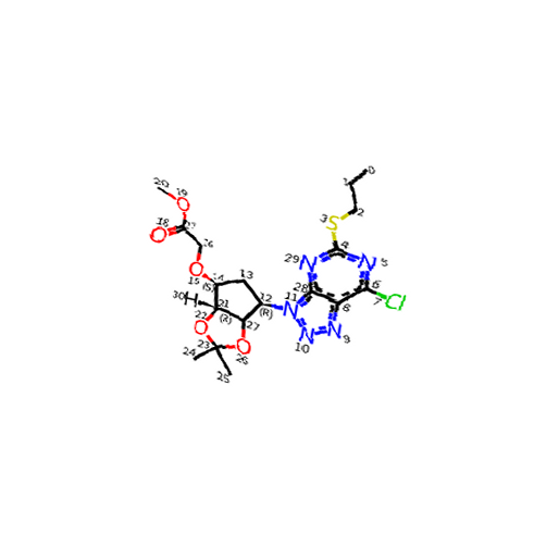 CCCSc1nc(Cl)c2nnn([C@@H]3C[C@H](OCC(=O)OC)[C@H]4OC(C)(C)OC34)c2n1